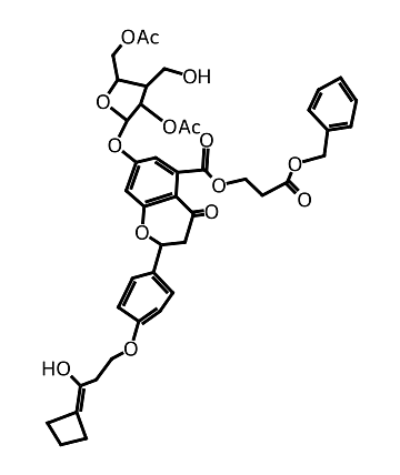 CC(=O)OCC1OC(Oc2cc3c(c(C(=O)OCCC(=O)OCc4ccccc4)c2)C(=O)CC(c2ccc(OCCC(O)=C4CCC4)cc2)O3)C(OC(C)=O)C1CO